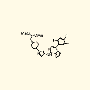 COC(CN1CCC(n2cc(Nc3ncc(-c4cc(C)c(F)cc4F)n4ccnc34)cn2)CC1)OC